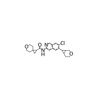 O=C(Nc1cc2cc(C3C4CCOCC43)c(Cl)cc2cn1)C1CC12CCOCC2